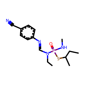 CCC(C)SP(=O)(NC)N(C=Nc1ccc(C#N)cc1)CC